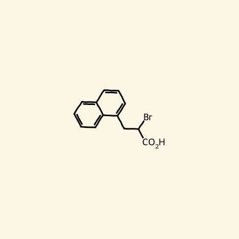 O=C(O)C(Br)Cc1cccc2ccccc12